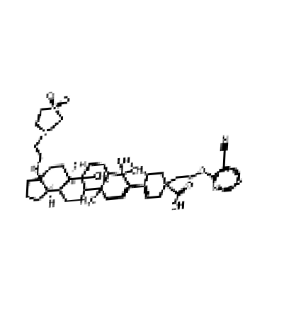 CC1(C)C(C2=CCC(CCOc3ncccc3C#N)(C(=O)O)CC2)=CCC2(C)C1CCC1(C)C2CCC2[C@H]3CCCC3(NCCN3CCS(=O)(=O)CC3)CC[C@]21C